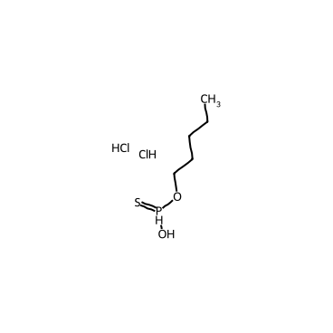 CCCCCO[PH](O)=S.Cl.Cl